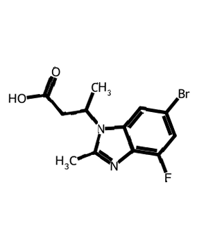 Cc1nc2c(F)cc(Br)cc2n1C(C)CC(=O)O